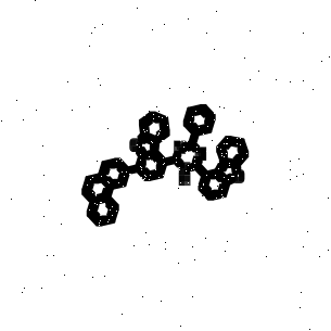 c1ccc(C2=NC(c3ccc(-c4ccc5ccc6ccccc6c5c4)c4oc5ccccc5c34)NC(c3cccc4oc5ccccc5c34)=N2)cc1